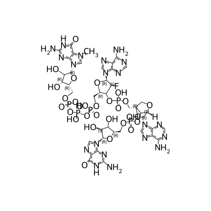 C[n+]1cn([C@@H]2O[C@H](COP(=O)([O-])OP(=O)(O)OP(=O)(O)OC[C@H]3O[C@@H](n4cnc5c(N)ncnc54)[C@@H](F)C3OP(=O)(O)OC[C@]34CO[C@@H](C3OP(=O)(O)OC[C@H]3O[C@@H](n5cnc6c(=O)[nH]c(N)nc65)[C@@H](O)C3O)[C@H](n3cnc5c(N)ncnc53)O4)[C@H](O)C2O)c2nc(N)[nH]c(=O)c21